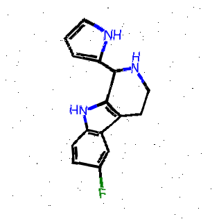 Fc1ccc2[nH]c3c(c2c1)CCNC3c1ccc[nH]1